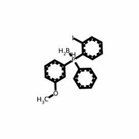 B[PH](c1ccccc1)(c1cccc(OC)c1)c1ccccc1I